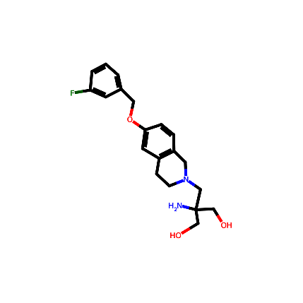 NC(CO)(CO)CN1CCc2cc(OCc3cccc(F)c3)ccc2C1